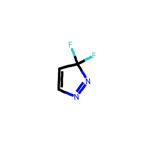 FC1(F)C=CN=N1